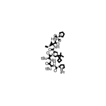 C=C[C@@H]1C[C@]1(NC(=O)[C@@H]1C[C@@]2(CN1C(=O)[C@@H](NC(=O)[C@@H](NC(=O)[C@@H]1CCCN1C(C)C)C(C)(C)C)C(C)(C)C)C(C)(C)C21CCC1)C(=O)NS(=O)(=O)N1CCCC1